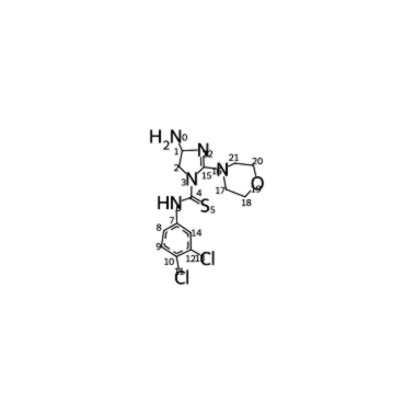 NC1CN(C(=S)Nc2ccc(Cl)c(Cl)c2)C(N2CCOCC2)=N1